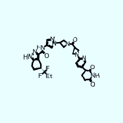 CCC(F)(F)[C@@H]1CCc2[nH]nc(C(=O)Nc3cnn(C4CN(C(=O)C5CN(c6ccc(C7CCC(=O)NC7=O)cn6)C5)C4)c3)c2C1